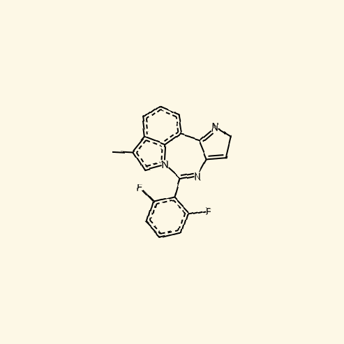 Cc1cn2c3c(cccc13)C1=NCC=C1N=C2c1c(F)cccc1F